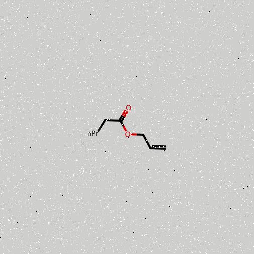 C=CCOC(=O)CCCC